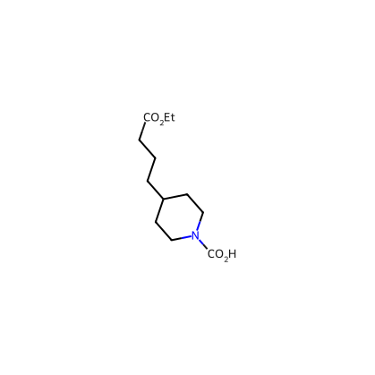 CCOC(=O)CCCC1CCN(C(=O)O)CC1